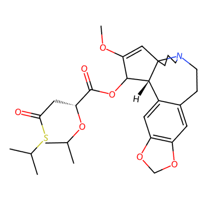 COC1=CC23CCCN2CCc2cc4c(cc2[C@@H]3C1OC(=O)[C@@H](CC(=O)SC(C)C)OC(C)C)OCO4